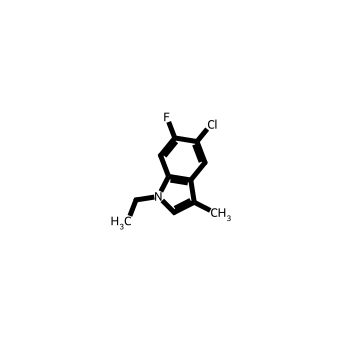 CCn1cc(C)c2cc(Cl)c(F)cc21